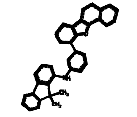 CC1(C)c2ccccc2-c2cccc(Nc3cccc(-c4cccc5c4oc4c6ccccc6ccc54)c3)c21